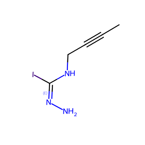 CC#CCN/C(I)=N\N